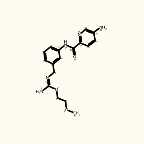 COCCO/C(N)=N\Cc1cccc(NC(=O)c2ccc(N)cn2)c1